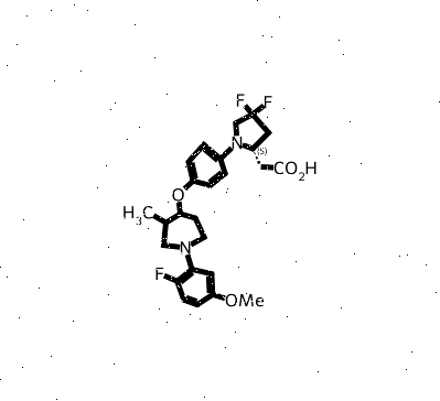 COc1ccc(F)c(N2CCC(Oc3ccc(N4CC(F)(F)C[C@@H]4CC(=O)O)cc3)C(C)C2)c1